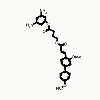 COc1cc(-c2ccc(OC#N)cc2)ccc1/C=C/C(=O)OCCCC(=O)Oc1cc(N)cc(N)c1